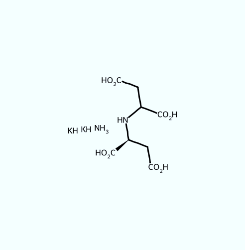 N.O=C(O)CC(N[C@@H](CC(=O)O)C(=O)O)C(=O)O.[KH].[KH]